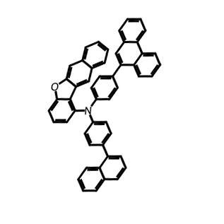 c1ccc2cc3c(cc2c1)oc1cccc(N(c2ccc(-c4cccc5ccccc45)cc2)c2ccc(-c4cc5ccccc5c5ccccc45)cc2)c13